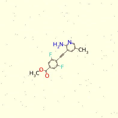 COC(=O)c1cc(F)c(C#Cc2cc(C)cnc2N)c(F)c1